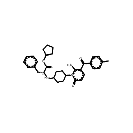 Nc1c(C(=O)c2ccc(F)cc2)ccc(=O)n1C1CCC(N[C@@H](Cc2ccccc2)C(=O)OC2CCCC2)CC1